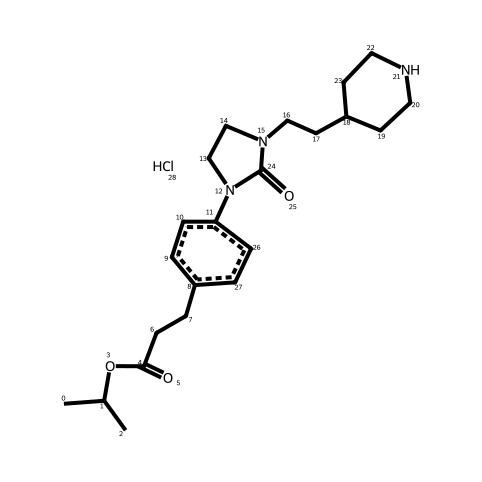 CC(C)OC(=O)CCc1ccc(N2CCN(CCC3CCNCC3)C2=O)cc1.Cl